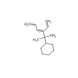 C=C/C=C(\C=C)C(C)(C)C1CCCCC1